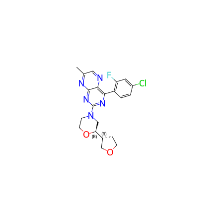 Cc1cnc2c(-c3ccc(Cl)cc3F)nc(N3CCO[C@H]([C@@H]4CCOC4)C3)nc2n1